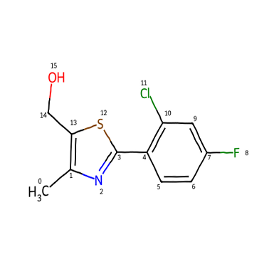 Cc1nc(-c2ccc(F)cc2Cl)sc1CO